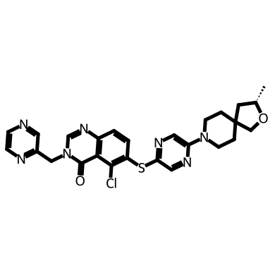 C[C@H]1CC2(CCN(c3cnc(Sc4ccc5ncn(Cc6cnccn6)c(=O)c5c4Cl)cn3)CC2)CO1